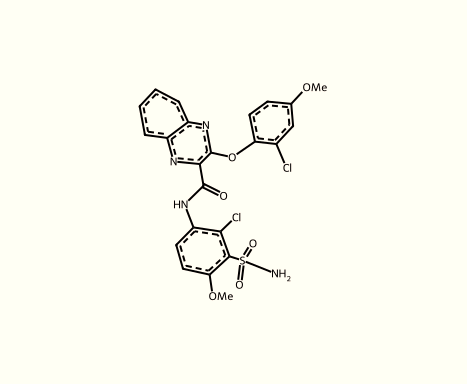 COc1ccc(Oc2nc3ccccc3nc2C(=O)Nc2ccc(OC)c(S(N)(=O)=O)c2Cl)c(Cl)c1